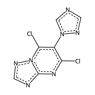 Clc1nc2ncnn2c(Cl)c1-n1cncn1